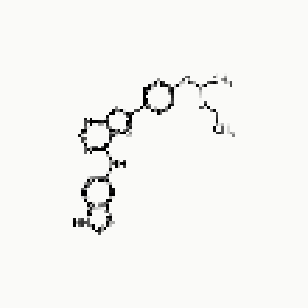 CCOC(C)Oc1ccc(-c2cc3ncnc(Nc4ccc5[nH]ccc5c4)c3s2)cc1